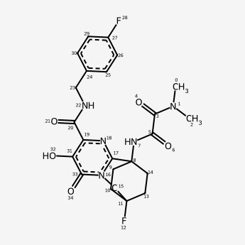 CN(C)C(=O)C(=O)NC12CCC(F)(CC1)Cn1c2nc(C(=O)NCc2ccc(F)cc2)c(O)c1=O